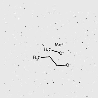 CCC[O-].C[O-].[Mg+2]